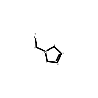 ClCN1CC=CC1